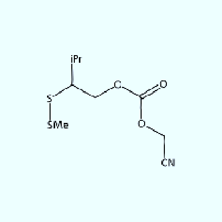 CSSC(COC(=O)OCC#N)C(C)C